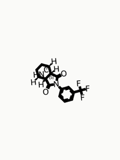 O=C1[C@H]2[C@H]3CC[C@H](NC3)[C@H]2C(=O)N1c1cccc(C(F)(F)F)c1